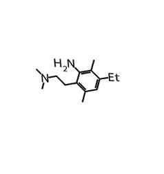 CCc1cc(C)c(CCN(C)C)c(N)c1C